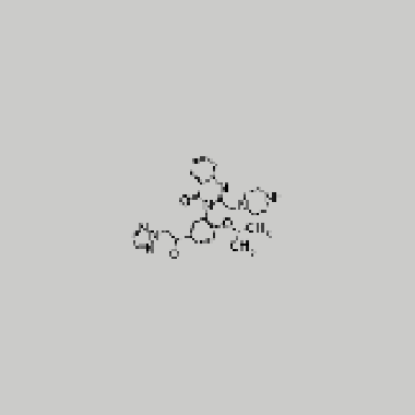 CC(C)Oc1ccc(C(=O)Cn2nccn2)cc1-n1c(CN2CCNCC2)nc2ccccc2c1=O